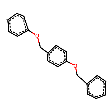 [c]1ccc(OCc2ccc(OCc3ccccc3)cc2)cc1